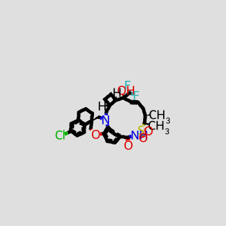 C[C@@H]1[C@@H](C)C/C=C/[C@](O)(C(F)F)[C@@H]2CC[C@H]2CN2C[C@@]3(CCCc4cc(Cl)ccc43)COc3ccc(cc32)C(=O)NS1(=O)=O